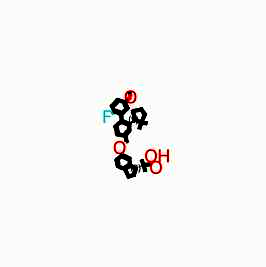 COc1ccc(F)c(-c2ccc(COc3ccc4c(c3)[C@H](C(C)(C)C(=O)O)CC4)cc2[C@H]2CCCC2(C)C)c1